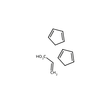 C1=CCC=C1.C1=CCC=C1.C=CC(=O)O